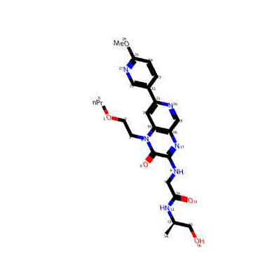 CCCOCCn1c(=O)c(NCC(=O)N[C@H](C)CO)nc2cnc(-c3ccc(OC)nc3)cc21